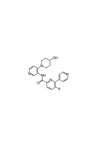 O=C(Nc1cnccc1N1CCC(O)CC1)c1ccc(F)c(-c2ccncc2)n1